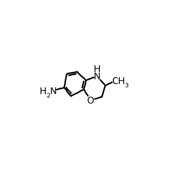 CC1COc2cc(N)ccc2N1